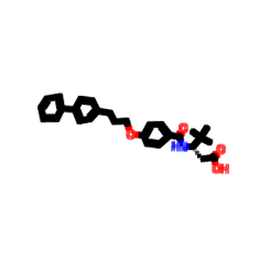 CC(C)(C)[C@H](CC(=O)O)NC(=O)c1ccc(OCCCc2ccc(-c3ccccc3)cc2)cc1